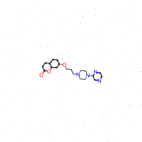 O=c1ccc2ccc(OCCCN3CCN(c4cnccn4)CC3)cc2o1